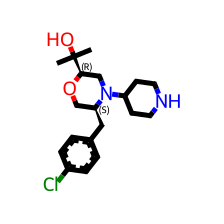 CC(C)(O)[C@H]1CN(C2CCNCC2)[C@@H](Cc2ccc(Cl)cc2)CO1